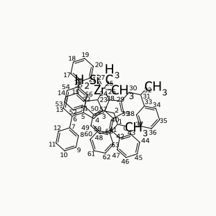 CC(CC1=Cc2c(-c3ccccc3)ccc(-c3ccccc3)c2[CH]1[Zr]([CH3])([CH3])(=[SiH2])[CH]1C(CC(C)c2ccccc2)=Cc2c(-c3ccccc3)ccc(-c3ccccc3)c21)c1ccccc1